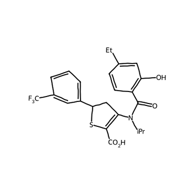 CCc1ccc(C(=O)N(C2=C(C(=O)O)SC(c3cccc(C(F)(F)F)c3)C2)C(C)C)c(O)c1